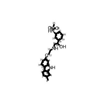 Cc1ccc2c(c1)[nH]c1cc(OCCNCC(O)c3cccc(NS(C)(=O)=O)c3)ccc12